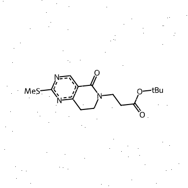 CSc1ncc2c(n1)CCN(CCC(=O)OC(C)(C)C)C2=O